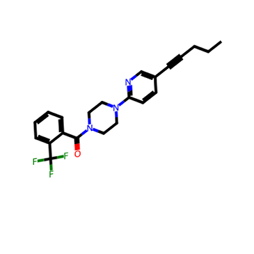 CCCC#Cc1ccc(N2CCN(C(=O)c3ccccc3C(F)(F)F)CC2)nc1